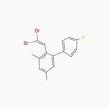 Cc1cc(C)c(C=C(Br)Br)c(-c2ccc(F)cc2)c1